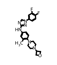 Cc1cc(Nc2ncn(-c3ccc(F)c(F)c3)n2)ccc1N1CCN(C2COC2)CC1